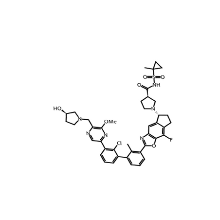 COc1nc(-c2cccc(-c3cccc(-c4nc5cc6c(c(F)c5o4)CC[C@H]6N4CC[C@@H](C(=O)NS(=O)(=O)C5(C)CC5)C4)c3C)c2Cl)cnc1CN1CC[C@@H](O)C1